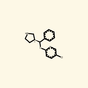 Clc1ccc(OC(c2ccccc2)[C@H]2CCNC2)nc1